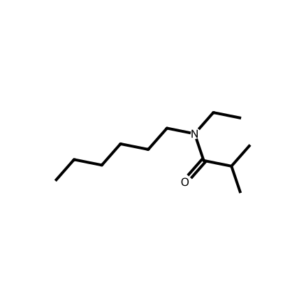 CCCCCCN(CC)C(=O)C(C)C